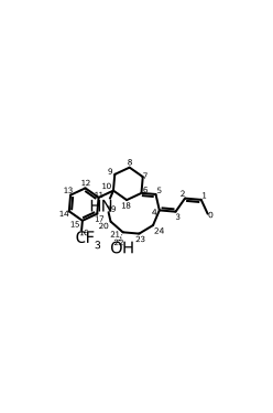 C\C=C/C=C1\C=C2/CCCC(c3cccc(C(F)(F)F)c3)(C2)NC[C@@H](O)CC1